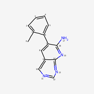 Cc1ccccc1-c1cc2cncnc2nc1N